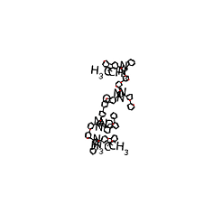 CC1(C)c2ccccc2-c2ccc(-c3nc(-c4ccccc4)cc(-c4cccc(-c5cccc(-c6nc(-c7cccc(-c8ccccc8)c7)nc(-c7ccc8c(c7)oc7ccc(-c9ccc(-c%10nc(-c%11cccc(-c%12cccc(-c%13cc(-c%14ccccc%14)nc(-c%14ccc%15c(c%14)C(C)(C)c%14ccccc%14-%15)n%13)c%12)c%11)nc(-c%11cccc%12c%11oc%11c(-c%13ccccc%13)cccc%11%12)n%10)cc9)cc78)n6)c5)c4)n3)cc21